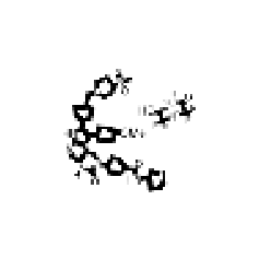 COc1ccc(-c2c(-c3ccc(CN4CCC(S(C)(=O)=O)CC4)cc3)[nH]c3ncc4c(c23)CN(c2ccc(C(=O)Nc3cccnc3)cc2)C(=O)N4C)cc1.O=C(O)C(F)(F)F.O=C(O)C(F)(F)F